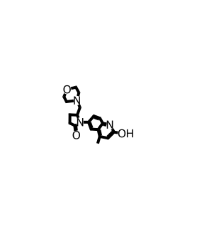 Cc1cc(O)nc2ccc(N3C(=O)CCC3CN3CCOCC3)cc12